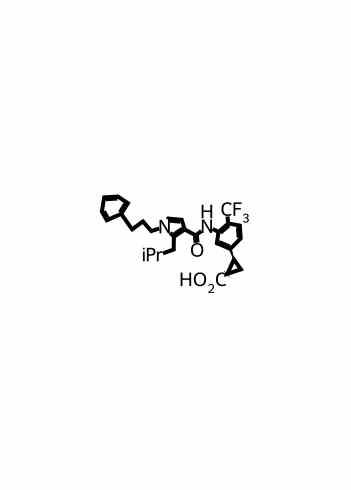 CC(C)Cc1c(C(=O)Nc2cc([C@H]3C[C@H]3C(=O)O)ccc2C(F)(F)F)ccn1CCCc1ccccc1